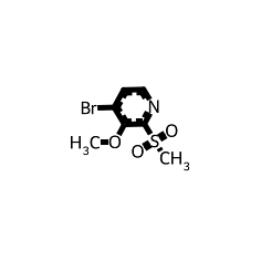 COc1c(Br)ccnc1S(C)(=O)=O